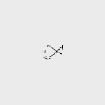 Cl.O=C(O)C1(Br)CC1